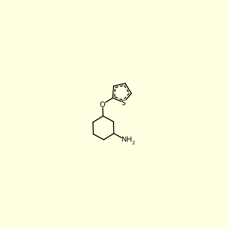 NC1CCCC(Oc2cccs2)C1